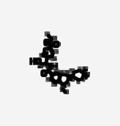 CC[C@@H]1CN(C2CCC(F)(F)CC2)Cc2cc(C(=O)NC(CO)c3ccc(S(=O)(=O)CC)cc3)ccc21